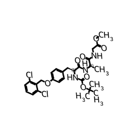 COC(=O)CNC(=O)[C@@H](C)NC(=O)[C@H](Cc1ccc(OCc2c(Cl)cccc2Cl)cc1)NC(=O)OC(C)(C)C